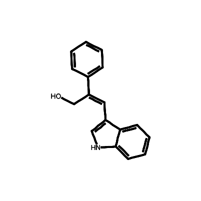 OCC(=Cc1c[nH]c2ccccc12)c1ccccc1